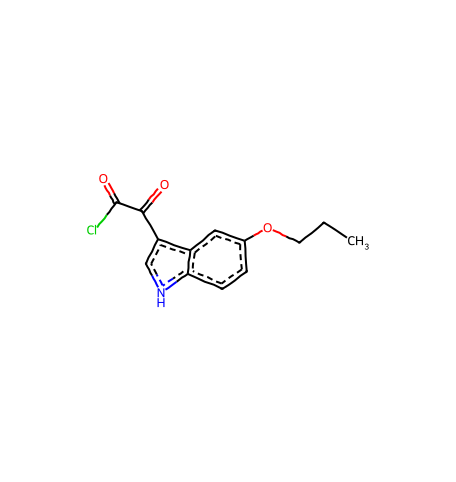 CCCOc1ccc2[nH]cc(C(=O)C(=O)Cl)c2c1